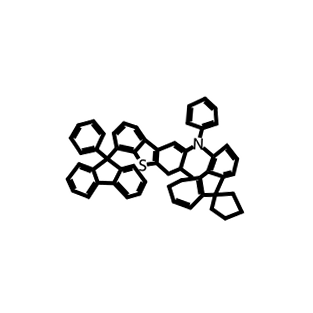 CC1Cc2sc3c(C4(c5ccccc5)c5ccccc5-c5ccccc54)cccc3c2C=C1N(c1ccccc1)c1cccc2c1C1=C(C=CCC1)C21CCCC1